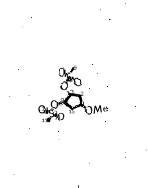 COC1C[C@@H](OS(C)(=O)=O)[C@H](OS(C)(=O)=O)C1